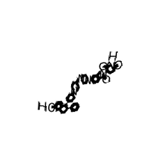 O=C1CC[C@H](N2Cc3cc(N4CCN(CC5CCN(C6C=CC([C@@H]7c8ccc(O)cc8CC[C@@H]7c7ccccc7)=CC6)CC5)CC4)ccc3C2=O)C(=O)N1